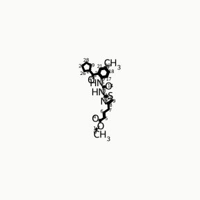 CCOC(=O)C=CCc1csc(NC(=O)Nc2ccc(C)cc2C(=O)C2CCCC2)n1